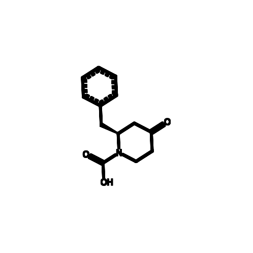 O=C1CCN(C(=O)O)[C@@H](Cc2ccccc2)C1